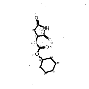 O=C1CC(OC(=O)OC2CCCCC2)C(=O)N1